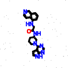 O=C(CNc1cccc2cnccc12)NC1CCCN(c2ncnc3[nH]ccc23)C1